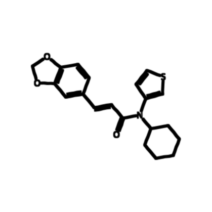 O=C(/C=C/c1ccc2c(c1)OCO2)N(c1ccsc1)C1CCCCC1